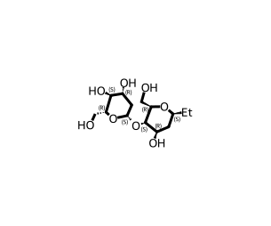 CC[C@H]1C[C@@H](O)[C@H](O[C@H]2C[C@@H](O)[C@H](O)[C@@H](CO)O2)[C@@H](CO)O1